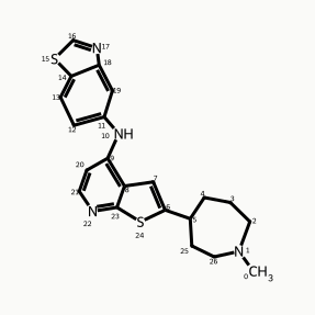 CN1CCCC(c2cc3c(Nc4ccc5scnc5c4)ccnc3s2)CC1